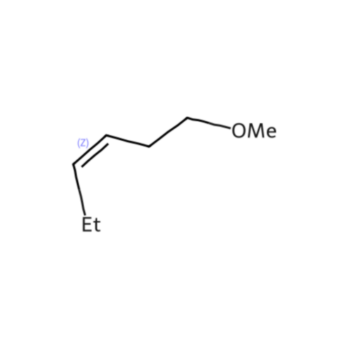 CC/C=C\CCOC